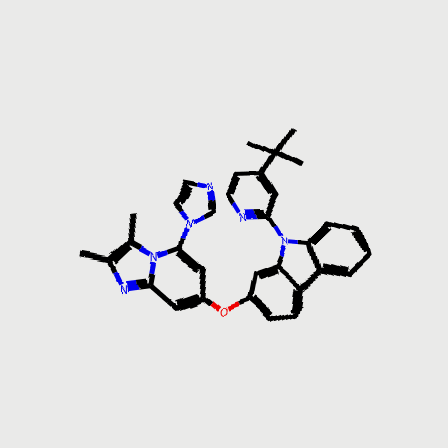 Cc1nc2cc(Oc3ccc4c5ccccc5n(-c5cc(C(C)(C)C)ccn5)c4c3)cc(-n3ccnc3)n2c1C